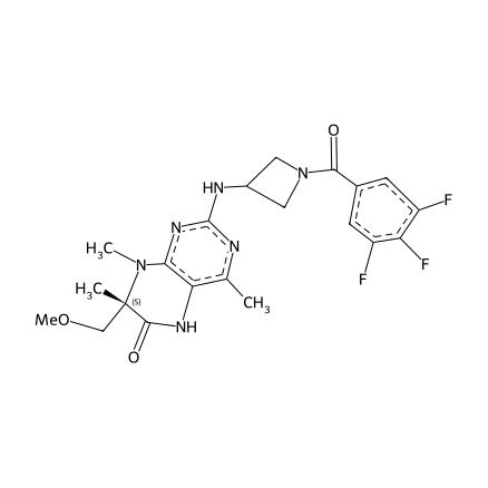 COC[C@@]1(C)C(=O)Nc2c(C)nc(NC3CN(C(=O)c4cc(F)c(F)c(F)c4)C3)nc2N1C